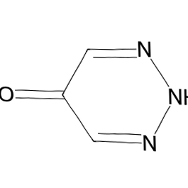 O=c1cn[nH]nc1